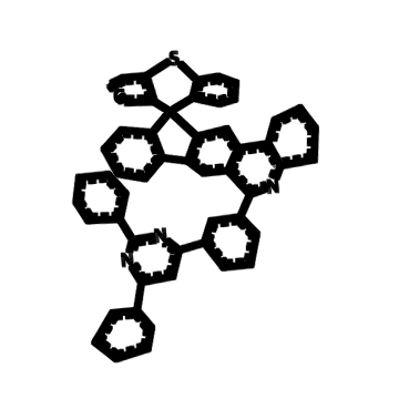 c1ccc(-c2cc(-c3cccc(-c4nc5ccccc5c5cc6c(cc45)-c4ccccc4C64c5ccccc5Sc5ccccc54)c3)nc(-c3ccccc3)n2)cc1